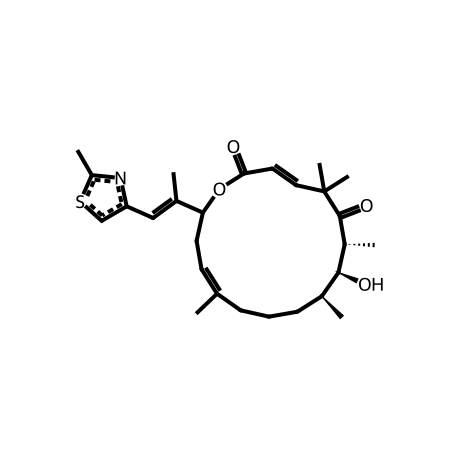 CC(=Cc1csc(C)n1)C1C/C=C(/C)CCC[C@H](C)[C@H](O)[C@@H](C)C(=O)C(C)(C)/C=C/C(=O)O1